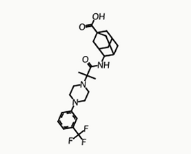 CC(C)(C(=O)NC1C2CC3CC1CC(C(=O)O)(C3)C2)N1CCN(c2cccc(C(F)(F)F)c2)CC1